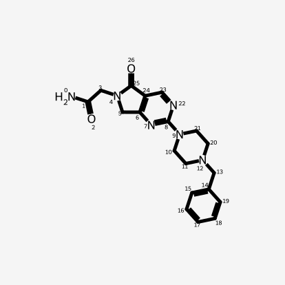 NC(=O)CN1Cc2nc(N3CCN(Cc4ccccc4)CC3)ncc2C1=O